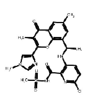 Cc1cc(C(C)Nc2ccc(Cl)nc2C(=O)NS(C)(=O)=O)c2oc(-c3cn(C)cn3)c(C)c(=O)c2c1